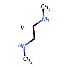 CNCCNC.[V]